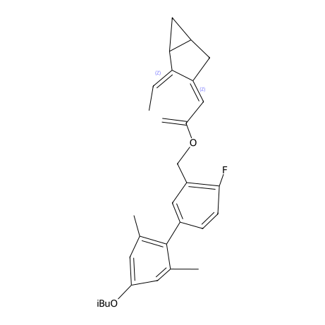 C=C(/C=C1/CC2CC2/C1=C/C)OCc1cc(-c2c(C)cc(OCC(C)C)cc2C)ccc1F